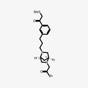 CSCC(=O)c1cccc(CCCN2C[C@@H]3C[C@H]2CN3CC(=O)C(C)C)c1